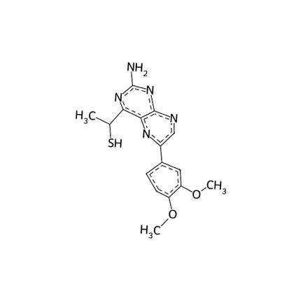 COc1ccc(-c2cnc3nc(N)nc(C(C)S)c3n2)cc1OC